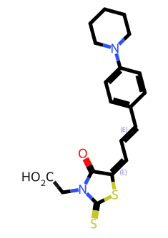 O=C(O)CN1C(=O)/C(=C\C=C\c2ccc(N3CCCCC3)cc2)SC1=S